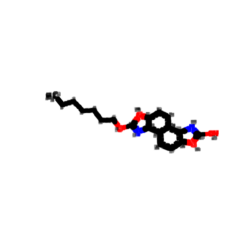 CCCCCCCOc1nc2c(ccc3c2ccc2oc(O)nc23)o1